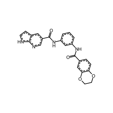 O=C(Nc1cccc(NC(=O)c2cnc3[nH]ccc3c2)c1)c1ccc2c(c1)OCCO2